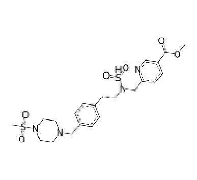 COC(=O)c1ccc(CN(CCc2ccc(CN3CCN(S(C)(=O)=O)CC3)cc2)[SH](=O)=O)nc1